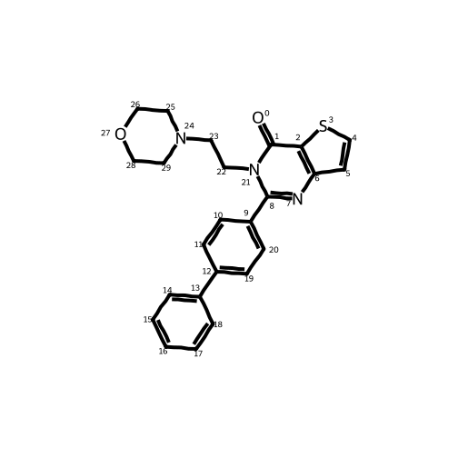 O=c1c2sccc2nc(-c2ccc(-c3ccccc3)cc2)n1CCN1CCOCC1